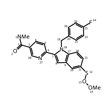 CNC(=O)c1ccc(-c2cc3cc(SOOC)ccc3n2Cc2ccc(F)cc2)nc1